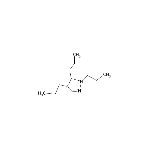 CCCC1N(CCC)C=NN1CCC